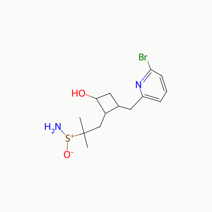 CC(C)(CC1C(O)CC1Cc1cccc(Br)n1)[S+](N)[O-]